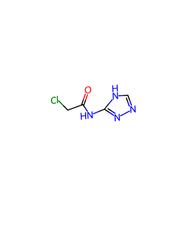 O=C(CCl)Nc1nnc[nH]1